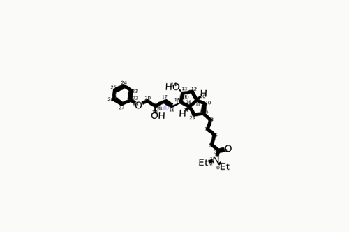 CCN(CC)C(=O)CCCCC1=C[C@H]2C[C@@H](O)[C@H](/C=C/[C@@H](O)COc3ccccc3)[C@H]2C1